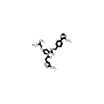 Cc1cc(CC(=O)N2C[C@H](OCC(C)C)C[C@H]2C(=O)NCc2ccc(-c3scnc3C)cc2)on1